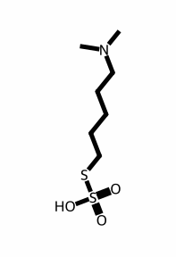 CN(C)CCCCCSS(=O)(=O)O